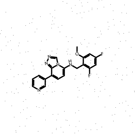 COc1cc(F)cc(F)c1CNc1ccc(-c2cccnc2)c2nncn12